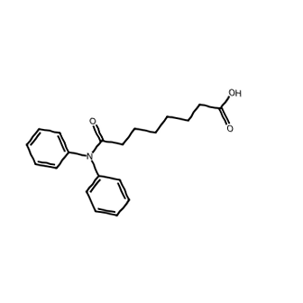 O=C(O)CCCCCCC(=O)N(c1ccccc1)c1ccccc1